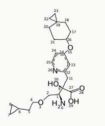 N[C@@H](COCCC1CC1)[C@](O)(Cc1cc(OC2CCC3(CC2)CC3)ccn1)C(=O)O